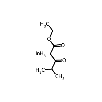 CCOC(=O)CC(=O)C(C)C.[InH3]